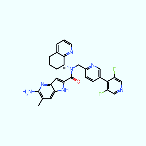 Cc1cc2[nH]c(C(=O)N(Cc3ccc(-c4c(F)cncc4F)cn3)[C@@H]3CCCc4cccnc43)cc2nc1N